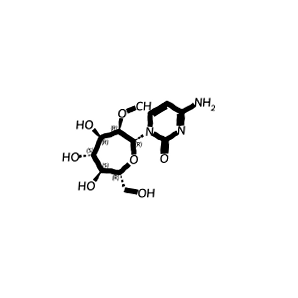 CO[C@@H]1[C@H](O)[C@@H](O)[C@H](O)[C@@H](CO)O[C@H]1n1ccc(N)nc1=O